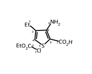 CCOC(=O)Cl.CCc1csc(C(=O)O)c1N